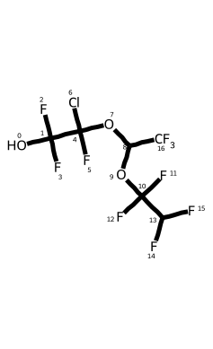 OC(F)(F)C(F)(Cl)OC(OC(F)(F)C(F)F)C(F)(F)F